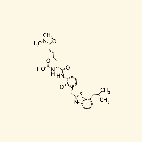 CC(C)Cc1cccc2nc(Cn3cccc(NC(=O)C(CCC=CC(=O)N(C)C)NC(=O)O)c3=O)sc12